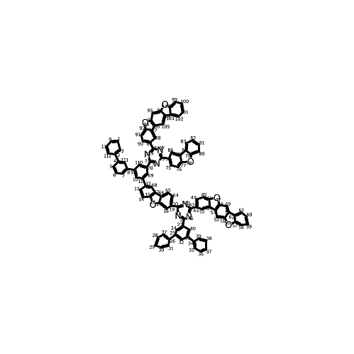 c1ccc(-c2cccc(-c3cc(-c4ccc5oc6cc(-c7nc(-c8cc(-c9ccccc9)cc(-c9ccccc9)c8)nc(-c8ccc9oc%10cc%11c(cc%10c9c8)oc8ccccc8%11)n7)ccc6c5c4)cc(-c4nc(-c5ccc6oc7ccccc7c6c5)nc(-c5ccc6oc7cc8oc9ccccc9c8cc7c6c5)n4)c3)c2)cc1